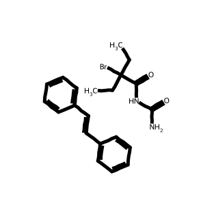 C(=Cc1ccccc1)c1ccccc1.CCC(Br)(CC)C(=O)NC(N)=O